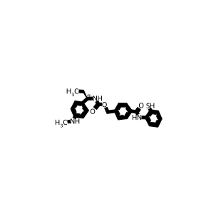 CC[C@@H](NC(=O)OCc1ccc(C(=O)Nc2ccccc2S)cc1)c1ccc(NC)cc1